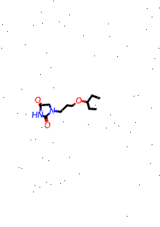 CCC(CC)OCCCN1CC(=O)NC1=O